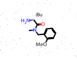 CC[C@H](C)[C@H](N)C(=O)N(C)Cc1ccccc1OC